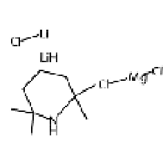 CC1(C)CCCC(C)(C)N1.[Cl][Mg][Cl].[LiH].[Li][Cl]